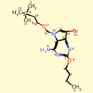 CCCCOc1nc(N)c2c(n1)c(Br)cn2COCC[Si](C)(C)C